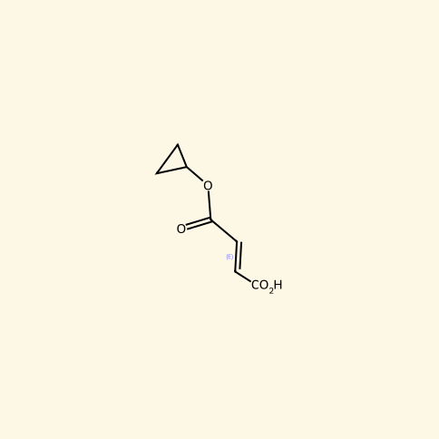 O=C(O)/C=C/C(=O)OC1CC1